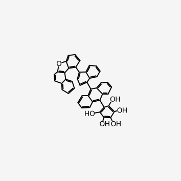 Oc1c(O)c(O)c(-c2c3ccccc3c(-c3ccc(-c4cccc5oc6ccc7ccccc7c6c45)c4ccccc34)c3ccccc23)c(O)c1O